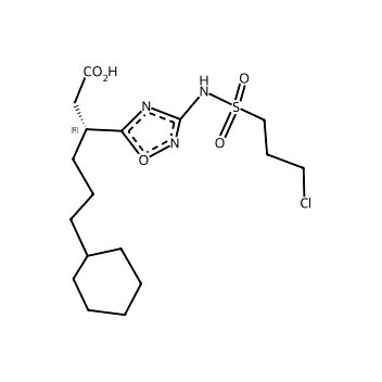 O=C(O)C[C@@H](CCCC1CCCCC1)c1nc(NS(=O)(=O)CCCCl)no1